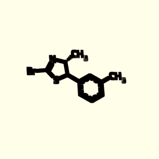 Cc1cccc(C2SC(Br)=N[C@@H]2C)c1